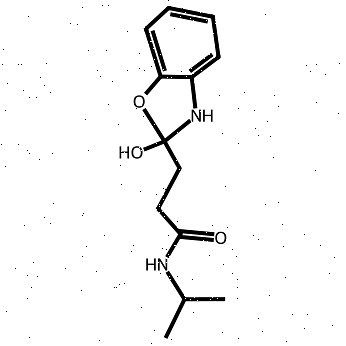 CC(C)NC(=O)CCC1(O)Nc2ccccc2O1